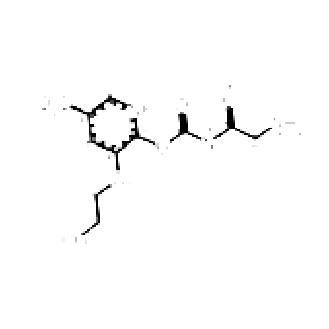 CC(C)CCOc1cc(C(=O)O)cnc1OC(=O)NC(=O)CN